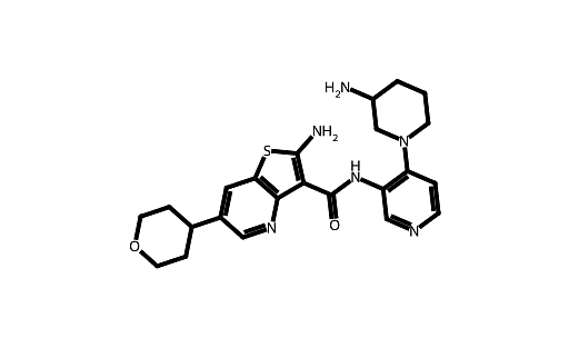 Nc1sc2cc(C3CCOCC3)cnc2c1C(=O)Nc1cnccc1N1CCCC(N)C1